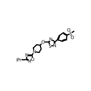 CC(C)c1noc(N2CCC(Oc3nc(-c4ccc(S(C)(=O)=O)cc4)ns3)CC2)n1